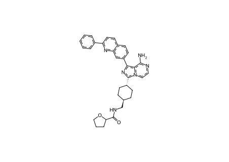 Nc1nccn2c1c(-c1ccc3ccc(-c4ccccc4)nc3c1)nc2[C@H]1CC[C@H](CNC(=O)C2CCCO2)CC1